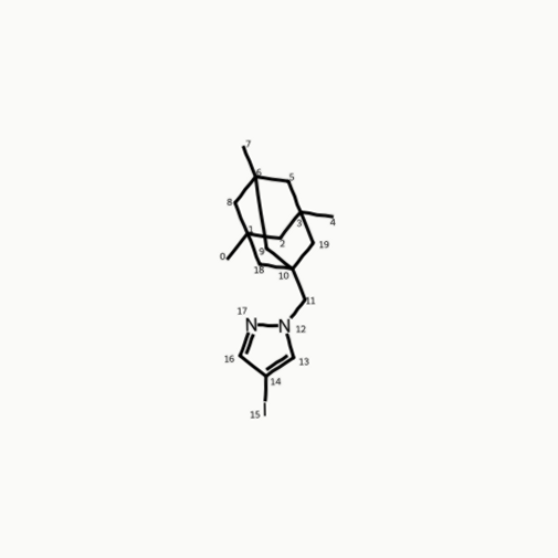 CC12CC3(C)CC(C)(C1)CC(Cn1cc(I)cn1)(C2)C3